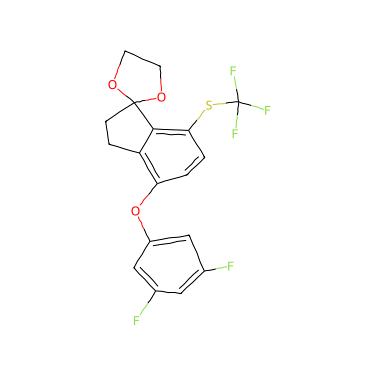 Fc1cc(F)cc(Oc2ccc(SC(F)(F)F)c3c2CCC32OCCO2)c1